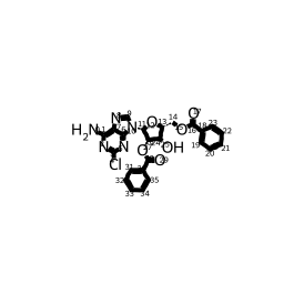 Nc1nc(Cl)nc2c1ncn2[C@@H]1O[C@H](COC(=O)c2ccccc2)C(O)[C@@H]1OC(=O)c1ccccc1